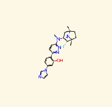 CN(c1ccc(-c2ccc(-n3ccnc3)cc2O)nn1)[C@H]1C[C@]2(C)CC[C@](C)([C@@H]1F)N2C